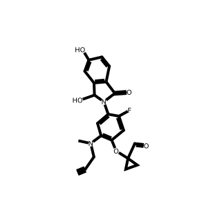 C#CCN(C)c1cc(N2C(=O)c3ccc(O)cc3C2O)c(F)cc1OC1(C=O)CC1